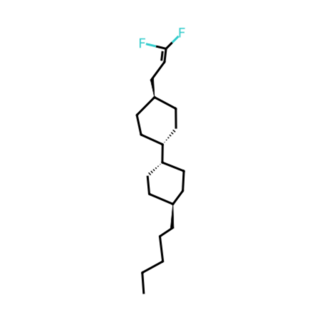 CCCCC[C@H]1CC[C@H]([C@H]2CC[C@H](CC=C(F)F)CC2)CC1